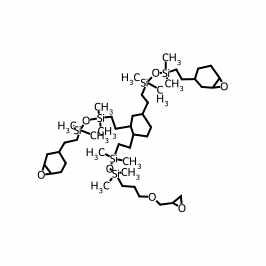 C[Si](C)(CCCOCC1CO1)O[Si](C)(C)CCC1CCC(CC[Si](C)(C)O[Si](C)(C)CCC2CCC3OC3C2)CC1CC[Si](C)(C)O[Si](C)(C)CCC1CCC2OC2C1